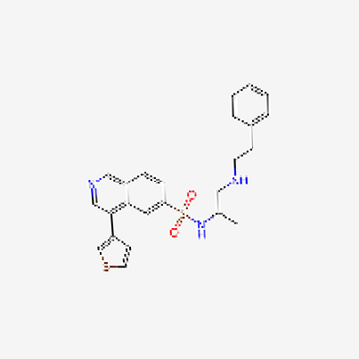 CC(CNCCc1ccccc1)NS(=O)(=O)c1ccc2cncc(-c3ccsc3)c2c1